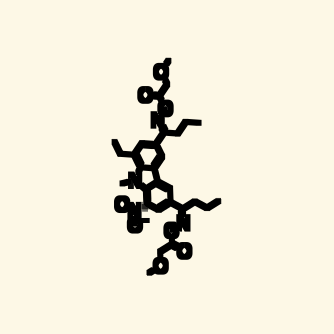 CCC/C(=N/OC(=O)COC)c1cc([N+](=O)[O-])c2c(c1)c1cc(/C(CCC)=N/OC(=O)COC)cc(CC)c1n2C